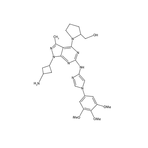 COc1cc(-n2cnc(Nc3nc(N4CCCC4CO)c4c(C)nn(C5CC(N)C5)c4n3)c2)cc(OC)c1OC